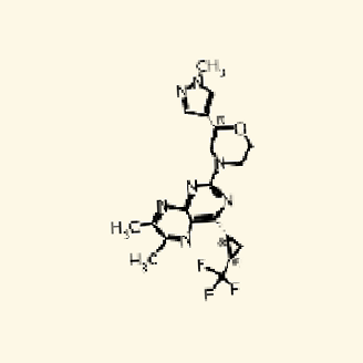 Cc1nc2nc(N3CCO[C@@H](c4cnn(C)c4)C3)nc([C@@H]3C[C@H]3C(F)(F)F)c2nc1C